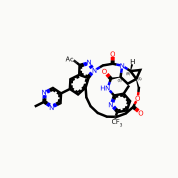 CC(=O)c1nn2c3c(cc(-c4cnc(C)nc4)cc13)CCCCCCC(=O)OC[C@@]13C[C@@H](C(=O)Nc4nc(C(F)(F)F)ccc4C)N(C(=O)C2)[C@@H]1C3